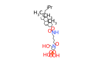 CC(C)CCC[C@H](C)[C@H]1CCC2C3CC=C4C[C@@H](OC(=O)NCCCCCC(=O)N5C[C@H](OP(=O)(O)OO)C[C@H]5CO)CCC4(C)C3CC[C@@]21C